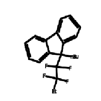 CCCCC1(C(F)(F)C(F)(F)CC)c2ccccc2-c2ccccc21